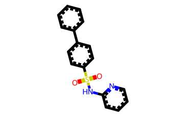 O=S(=O)(Nc1ccccn1)c1ccc(-c2ccccc2)cc1